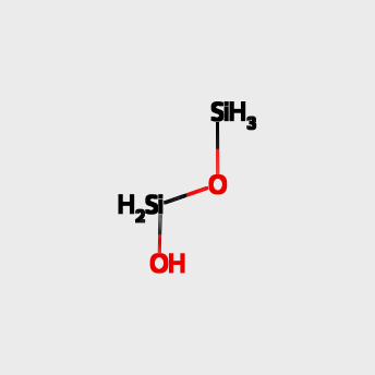 O[SiH2]O[SiH3]